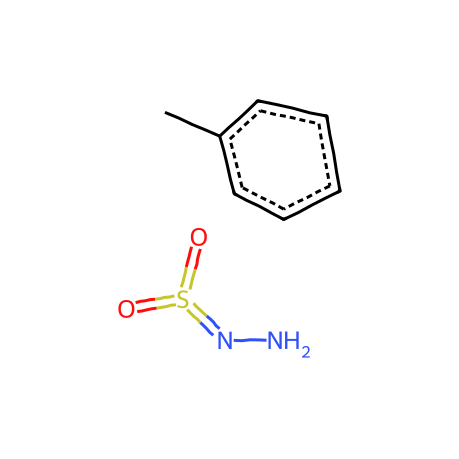 Cc1ccccc1.NN=S(=O)=O